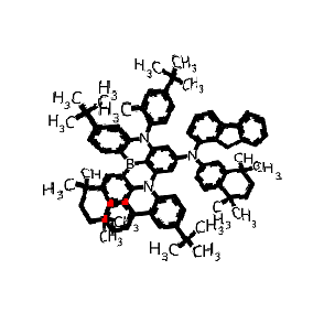 Cc1cc(C(C)(C)C)ccc1N1c2cc(C(C)(C)C)ccc2B2c3cc4c(cc3N(c3ccc(C(C)(C)C)cc3-c3ccccc3)c3cc(N(c5ccc6c(c5)C(C)(C)CCC6(C)C)c5cccc6c5Cc5ccccc5-6)cc1c32)C(C)(C)CCC4(C)C